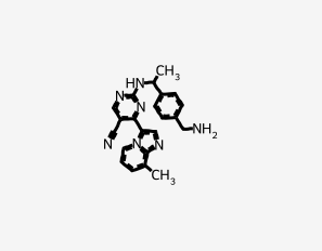 Cc1cccn2c(-c3nc(NC(C)c4ccc(CN)cc4)ncc3C#N)cnc12